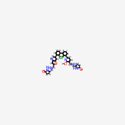 COc1nc(-c2cccc(-c3cccc(-c4cnc5cc(CNC[C@@H]6CCC(=O)N6)oc5c4)c3Cl)c2Cl)ccc1CNC[C@H]1CCC(=O)N1